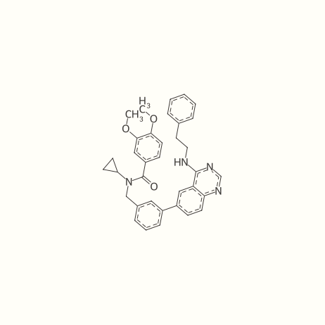 COc1ccc(C(=O)N(Cc2cccc(-c3ccc4ncnc(NCCc5ccccc5)c4c3)c2)C2CC2)cc1OC